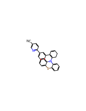 N#Cc1ccc(-c2cccc(C3=C(N4c5ccccc5Sc5ccccc54)CCC=C3)c2)nc1